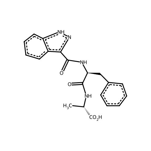 C[C@H](NC(=O)[C@H](Cc1ccccc1)NC(=O)c1n[nH]c2ccccc12)C(=O)O